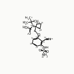 CC(C)(C)N(C(=O)O)C1(COc2cccc(NS(N)(=O)=O)c2C#N)CCC1